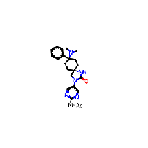 CC(=O)Nc1ncc(N2CC3(CCC(c4ccccc4)(N(C)C)CC3)NC2=O)cn1